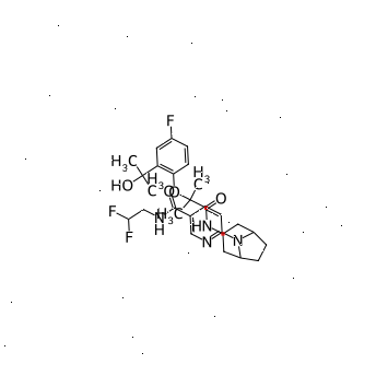 CC(C)(Oc1ccc(F)cc1C(C)(C)O)C(=O)NC1CC2CCC(C1)N2c1ccc(C(=O)NCC(F)F)cn1